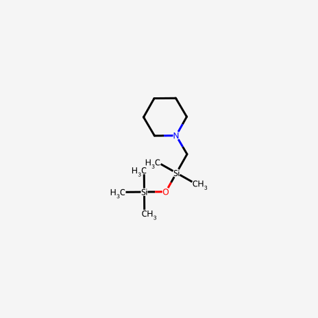 C[Si](C)(C)O[Si](C)(C)CN1CCCCC1